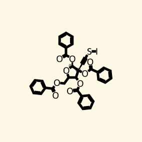 O=C(OCC1O[C@@H](OC(=O)c2ccccc2)[C@](C#CSI)(OC(=O)c2ccccc2)C1OC(=O)c1ccccc1)c1ccccc1